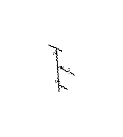 CCCCCCC(CCCC)COC(=O)CCCCCCCCC(CCCCCCCCC(=O)OCC(CCCC)CCCCCC)NCCCCCC(=O)OCCCC